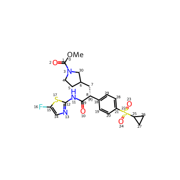 COC(=O)N1CCC(C[C@@H](C(=O)Nc2ncc(F)s2)c2ccc(S(=O)(=O)C3CC3)cc2)C1